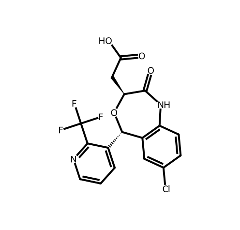 O=C(O)C[C@@H]1O[C@@H](c2cccnc2C(F)(F)F)c2cc(Cl)ccc2NC1=O